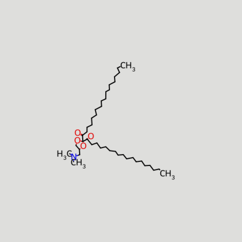 CCCCCCCCCCCCCCCCCC(=O)C1(C(=O)CCCCCCCCCCCCCCCCC)OCC(CN(C)C)O1